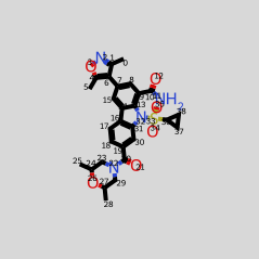 Cc1noc(C)c1-c1cc(C(N)=O)c2c(c1)c1ccc(C(=O)N3CC(C)OC(C)C3)cc1n2S(=O)(=O)C1CC1